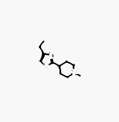 CCc1csc(C2CCN(C)CC2)n1